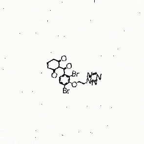 O=C1CCCC(=O)C1C(=O)c1ccc(Br)c(OCCn2ncnn2)c1Br